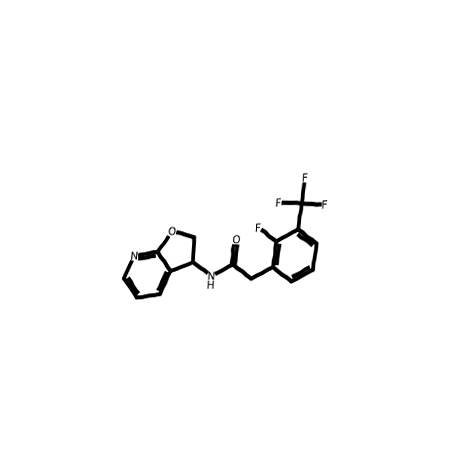 O=C(Cc1cccc(C(F)(F)F)c1F)NC1COc2ncccc21